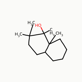 CC1(C)CCC2CCCCC2(C)C1(C)O